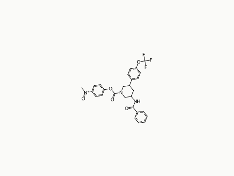 C[N+](=O)c1ccc(OC(=O)N2CC(NC(=O)c3ccccc3)CC(c3ccc(OC(F)(F)F)cc3)C2)cc1